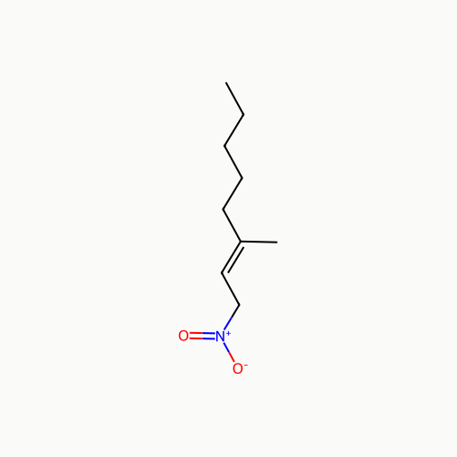 CCCCC/C(C)=C/C[N+](=O)[O-]